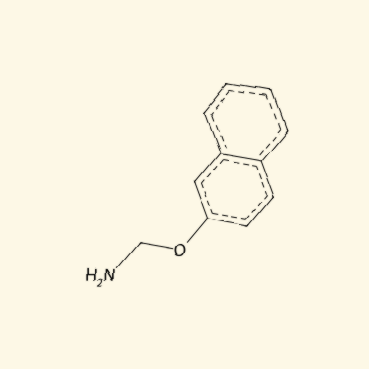 NCOc1ccc2ccccc2c1